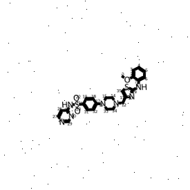 COc1ccccc1Nc1nc(CN2CCN(c3ccc(S(=O)(=O)Nc4ccncn4)cc3)CC2)cs1